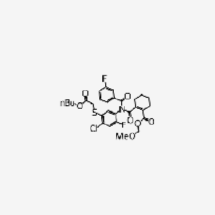 CCCCOC(=O)CSc1cc(N(C(=O)C2=C(C(=O)OCOC)CCCC2)C(=O)c2cccc(F)c2)c(F)cc1Cl